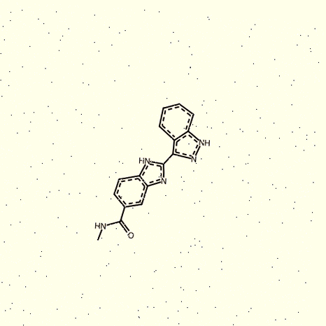 CNC(=O)c1ccc2[nH]c(-c3n[nH]c4ccccc34)nc2c1